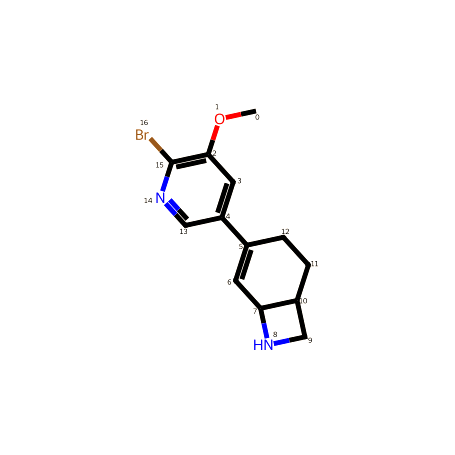 COc1cc(C2=CC3NCC3CC2)cnc1Br